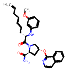 C=CCCCCC[C@H](Nc1cccc(OC(F)(F)F)c1)C(=O)N1C[C@H](Oc2nccc3ccccc23)C[C@H]1C(N)=O